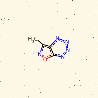 Cc1noc2nnnnc12